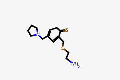 NCCSCC1=CC(CN2CCCC2)=CCC1=S